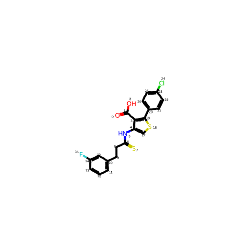 O=C(O)c1c(NC(=S)CCc2cccc(F)c2)csc1-c1ccc(Cl)cc1